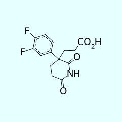 O=C(O)CCC1(c2ccc(F)c(F)c2)CCC(=O)NC1=O